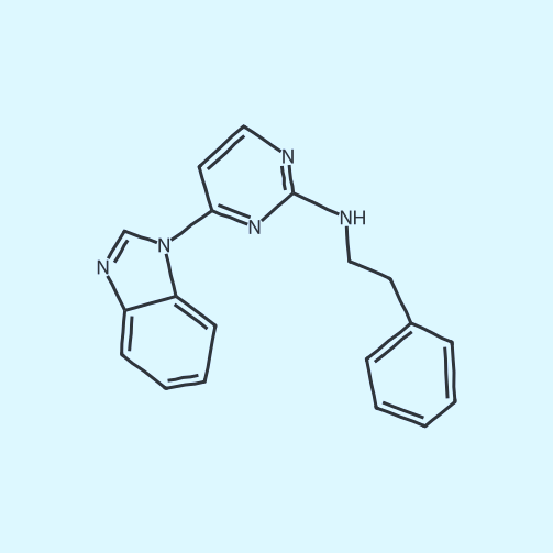 c1ccc(CCNc2nccc(-n3cnc4ccccc43)n2)cc1